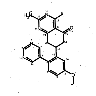 COc1ccc(-c2cncnc2)c(C2CC(=O)c3c(C)nc(N)nc3C2)c1